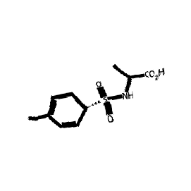 CC1=CC[C@H](S(=O)(=O)NC(C)C(=O)O)C=C1